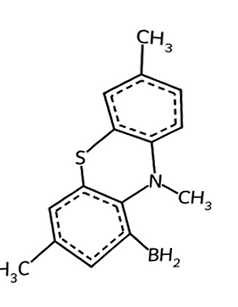 Bc1cc(C)cc2c1N(C)c1ccc(C)cc1S2